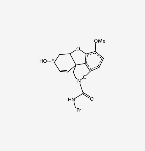 COc1ccc2c3c1OC1C[C@@H](O)C=CC31CCN(C(=O)NC(C)C)C2